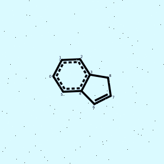 [c]1[c]cc2c(c1)C=CC2